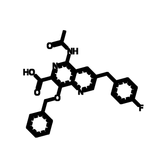 CC(=O)Nc1nc(C(=O)O)c(OCc2ccccc2)c2ncc(Cc3ccc(F)cc3)cc12